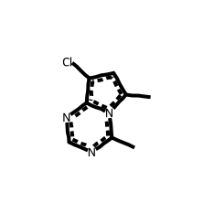 Cc1cc(Cl)c2ncnc(C)n12